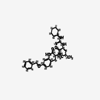 CC(C)C[C@H](NC(=S)NC1CCCCC1)C(=O)N[C@@H](Cc1ccc(OCc2ccccc2)cc1)C(=O)O